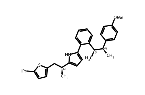 COc1ccc([C@@H](C)[C@@H](C)c2ccccc2-c2ccc([C@@H](C)Cc3ccc(C(C)C)s3)[nH]2)cc1